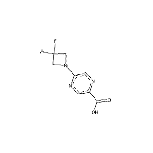 O=C(O)c1cnc(N2CC(F)(F)C2)cn1